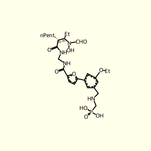 CCCCC[C@@H](C(=O)NCNC(=O)c1ccc(-c2cc(CNCP(=O)(O)O)cc(OCC)c2)o1)[C@@H](CC)N(O)C=O